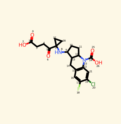 O=C(O)CCC(=O)C1(NC2CCC3C2Cc2cc(F)c(Cl)cc2N3C(=O)O)CC1